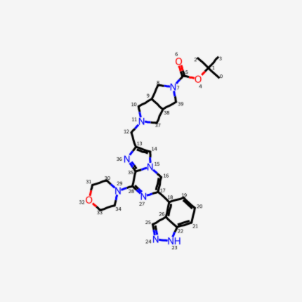 CC(C)(C)OC(=O)N1CC2CN(Cc3cn4cc(-c5cccc6[nH]ncc56)nc(N5CCOCC5)c4n3)CC2C1